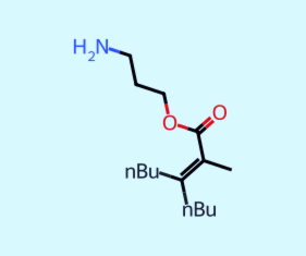 CCCCC(CCCC)=C(C)C(=O)OCCCN